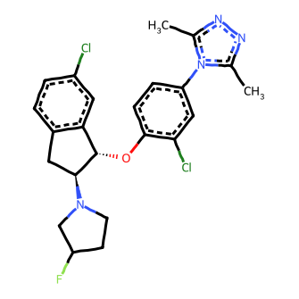 Cc1nnc(C)n1-c1ccc(O[C@H]2c3cc(Cl)ccc3C[C@@H]2N2CCC(F)C2)c(Cl)c1